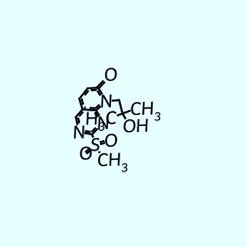 CC(C)(O)Cn1c(=O)ccc2cnc(S(C)(=O)=O)nc21